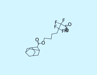 O=C(OCCCCC(F)(F)C(F)(F)[SH](=O)=O)C1C2CC3CC(C2)CC1C3